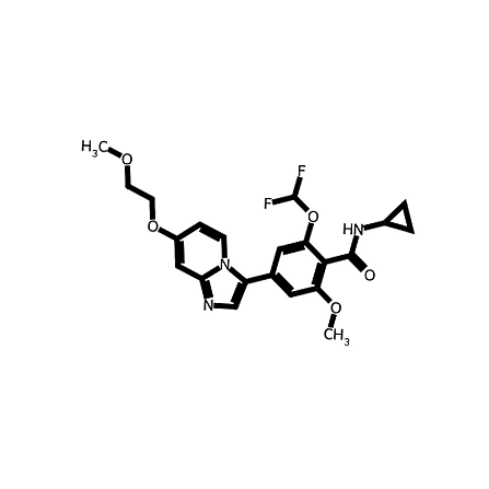 COCCOc1ccn2c(-c3cc(OC)c(C(=O)NC4CC4)c(OC(F)F)c3)cnc2c1